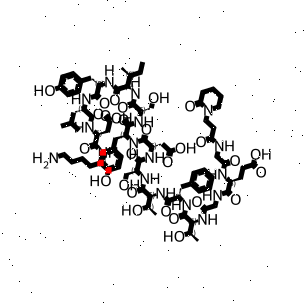 CC[C@H](C)[C@H](NC(=O)[C@H](CO)NC(=O)[C@H](Cc1ccc(O)cc1)NC(=O)[C@H](CC(=O)O)NC(=O)[C@H](CO)NC(=O)[C@@H](NC(=O)[C@H](Cc1ccccc1)NC(=O)[C@@H](NC(=O)CNC(=O)[C@H](CCC(=O)O)NC(=O)CNC(=O)CCN1CCCCC1=O)[C@@H](C)O)[C@@H](C)O)C(=O)N[C@@H](Cc1ccc(O)cc1)C(=O)N[C@@H](CC(C)C)C(=O)N[C@@H](CC(=O)O)C(=O)N[C@H](C)CCCCN